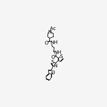 CC(=O)N1CCC(C(=O)NCCCNC(=O)c2sccc2-c2nc(-c3cc4ccccc4o3)cs2)CC1